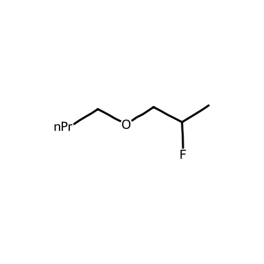 [CH2]CCCOCC(C)F